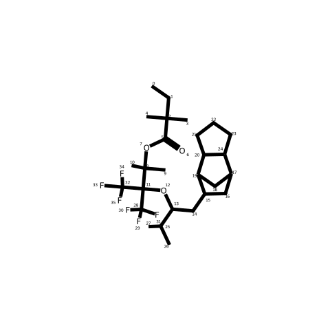 CCC(C)(C)C(=O)OC(C)(C)C(OC(CC1CC2CC1C1CCCC21)C(C)C)(C(F)(F)F)C(F)(F)F